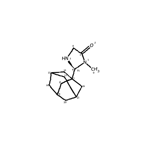 CN1C(=O)CN[C@@H]1C12CC3CC(CC(C3)C1)C2